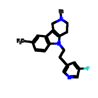 CCN1CCc2c(c3cc(C(F)(F)F)ccc3n2CCc2cncc(F)c2)C1